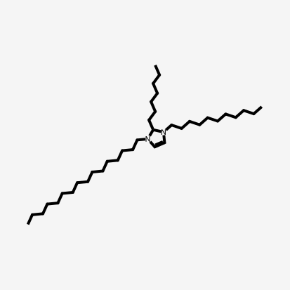 CCCCCCCCCCCCCCCCN1C=CN(CCCCCCCCCCC)C1CCCCCCC